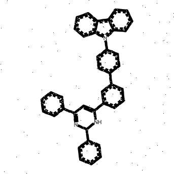 C1=C(c2cccc(-c3ccc(-n4c5ccccc5c5ccccc54)cc3)c2)NC(c2ccccc2)N=C1c1ccccc1